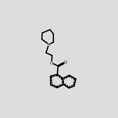 O=C(OCCN1CCCCC1)c1cccc2ccccc12